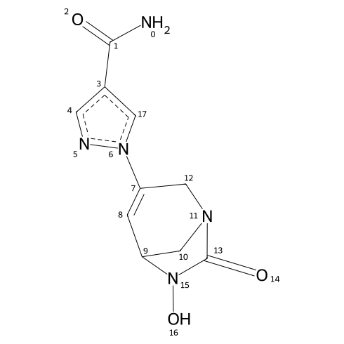 NC(=O)c1cnn(C2=CC3CN(C2)C(=O)N3O)c1